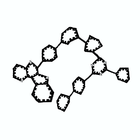 c1ccc(-c2ccc(-c3nc(-c4ccccc4)nc(-c4cccc(-c5cccc(-c6ccc(-c7nc8cccnc8c8c7sc7ccccc78)cc6)c5)c4)n3)cc2)cc1